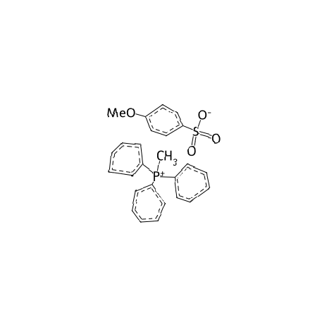 COc1ccc(S(=O)(=O)[O-])cc1.C[P+](c1ccccc1)(c1ccccc1)c1ccccc1